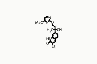 CCc1cc2ccc(C(C)(C#N)CCOc3nccc(OC)n3)cc2[nH]c1=O